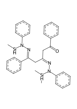 C[SiH](C)N(N=C(CC(=O)c1ccccc1)CC(=NN(c1ccccc1)[SiH](C)C)c1ccccc1)c1ccccc1